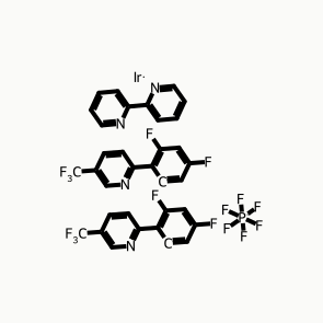 F[P-](F)(F)(F)(F)F.Fc1c[c-]c(-c2ccc(C(F)(F)F)cn2)c(F)c1.Fc1c[c-]c(-c2ccc(C(F)(F)F)cn2)c(F)c1.[Ir].c1ccc(-c2ccccn2)nc1